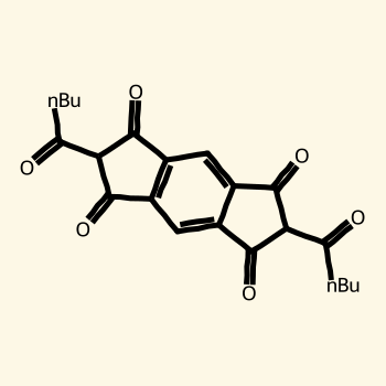 CCCCC(=O)C1C(=O)c2cc3c(cc2C1=O)C(=O)C(C(=O)CCCC)C3=O